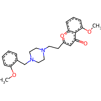 COc1ccccc1CN1CCN(CCc2cc(=O)c3c(OC)cccc3o2)CC1